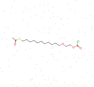 CC(=O)SCCCCCCCCCCCOCCOC(=O)Cl